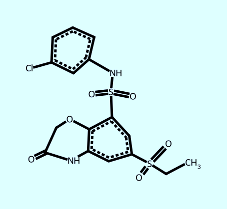 CCS(=O)(=O)c1cc2c(c(S(=O)(=O)Nc3cccc(Cl)c3)c1)OCC(=O)N2